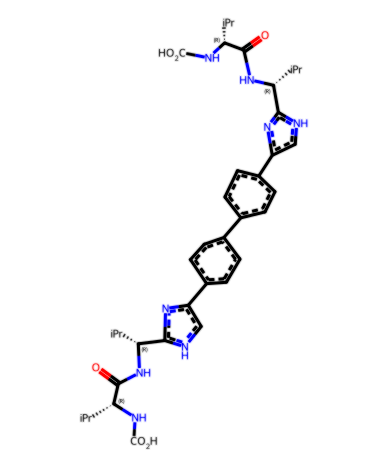 CC(C)[C@@H](NC(=O)O)C(=O)N[C@@H](c1nc(-c2ccc(-c3ccc(-c4c[nH]c([C@H](NC(=O)[C@H](NC(=O)O)C(C)C)C(C)C)n4)cc3)cc2)c[nH]1)C(C)C